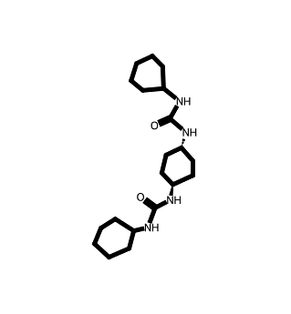 O=C(NC1CCCCC1)N[C@H]1CC[C@H](NC(=O)NC2CCCCC2)CC1